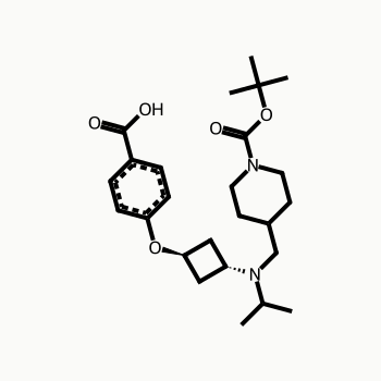 CC(C)N(CC1CCN(C(=O)OC(C)(C)C)CC1)[C@H]1C[C@H](Oc2ccc(C(=O)O)cc2)C1